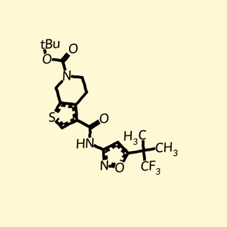 CC(C)(C)OC(=O)N1CCc2c(C(=O)Nc3cc(C(C)(C)C(F)(F)F)on3)csc2C1